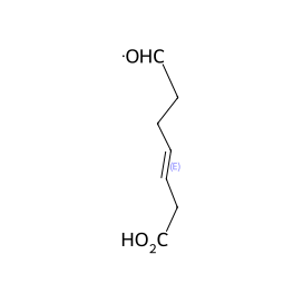 O=[C]CC/C=C/CC(=O)O